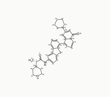 C[C@H](C(=O)Nc1ccc2sc3c(-c4cccn5c(=O)cc(N6CCCCC6)nc45)cccc3c2c1)N1CCOCC1